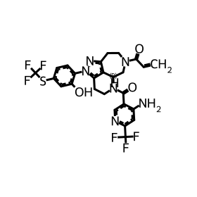 C=CC(=O)N1CCc2nn(-c3ccc(SC(F)(F)F)cc3O)c3c2[C@H](C1)N(C(=O)c1cnc(C(F)(F)F)cc1N)CC3